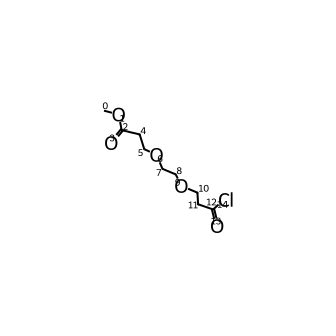 COC(=O)CCOCCOCCC(=O)Cl